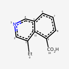 CCc1cncc2cccc(C(=O)O)c12